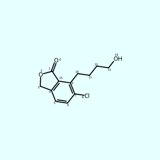 O=C1OCc2ccc(Cl)c(CCCCO)c21